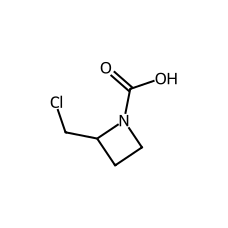 O=C(O)N1CCC1CCl